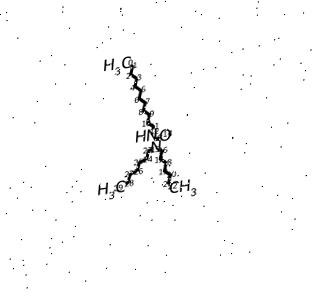 CCCCCCCCCCCCNC(=O)N(CCCCCCC)CCCCCCC